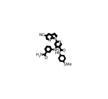 CSC1CCC(NC(=O)c2cnc(-n3ccc4cc(C#N)cnc43)cc2Nc2cccc(C(N)=O)c2)CC1